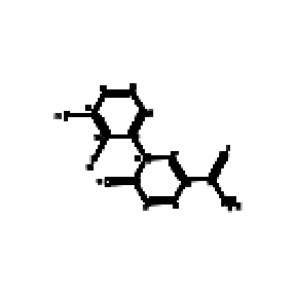 NC(=O)c1ccc(=O)n(-c2cccc(F)c2F)c1